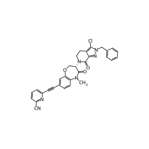 CN1C(=O)[C@@H](N2CCc3c(nn(Cc4ccccc4)c3Cl)C2=O)COc2cc(C#Cc3cccc(C#N)n3)ccc21